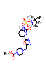 CCCCN(OS(=O)(=O)ON1C(=O)N2C[C@@H]1CC[C@H]2c1nnc(CN2CCN(C(=O)OC(C)(C)C)CC2)o1)C(CCC)(CCCC)CCCC